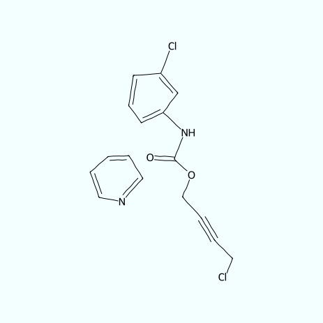 O=C(Nc1cccc(Cl)c1)OCC#CCCl.c1ccncc1